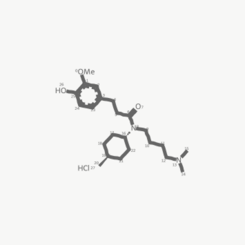 COc1cc(CCC(=O)N(CCCCN(C)C)[C@H]2CC[C@H](C)CC2)ccc1O.Cl